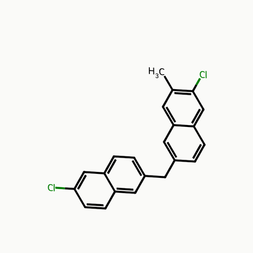 Cc1cc2cc(Cc3ccc4cc(Cl)ccc4c3)ccc2cc1Cl